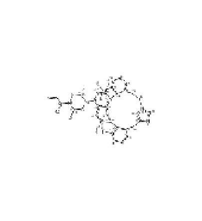 C=CC(=O)N1C[C@H](C)N(c2nc(=O)n3c4nc(c(F)cc24)-c2c(F)cccc2Cc2cn(nn2)CCc2cccc(C(C)C)c2-3)C[C@H]1C